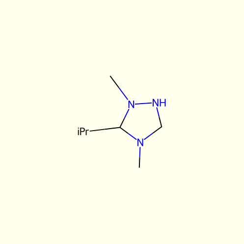 CC(C)C1N(C)CNN1C